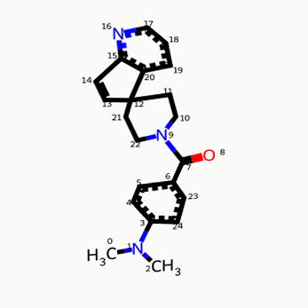 CN(C)c1ccc(C(=O)N2CCC3(C=Cc4ncccc43)CC2)cc1